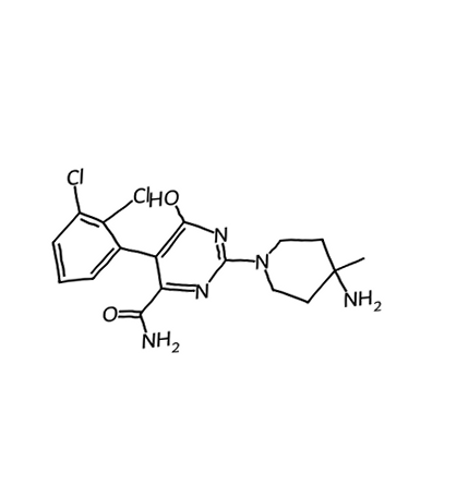 CC1(N)CCN(c2nc(O)c(-c3cccc(Cl)c3Cl)c(C(N)=O)n2)CC1